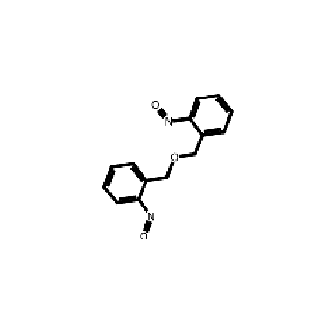 O=Nc1ccccc1COCc1ccccc1N=O